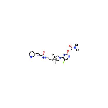 CCN(CC)C(=O)COc1ncc(F)c(N2C[C@@H]3[C@@H](CCNC(=O)/C=C/c4cccnc4)[C@@H]3C2)n1